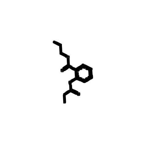 CCCOC(=O)c1ccccc1OC(=O)CC